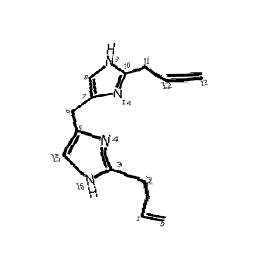 C=CCc1nc(Cc2c[nH]c(CC=C)n2)c[nH]1